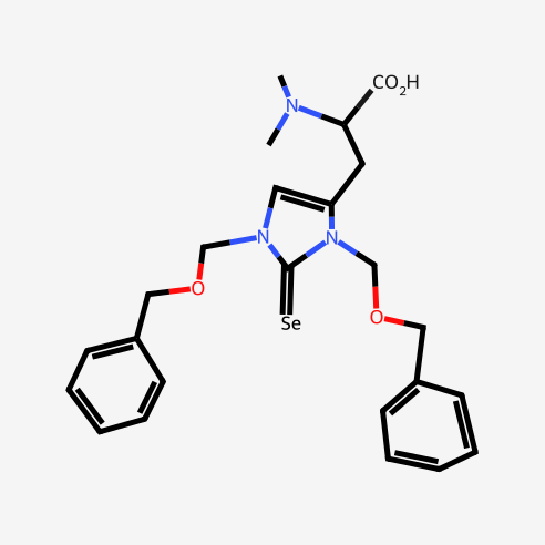 CN(C)C(Cc1cn(COCc2ccccc2)c(=[Se])n1COCc1ccccc1)C(=O)O